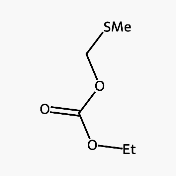 CCOC(=O)OCSC